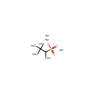 CCCCCCC(CCCCCC)(C(=O)[O-])C(C(=O)[O-])S(=O)(=O)[O-].[Na+].[Na+].[Na+]